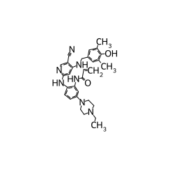 C=CC(=O)Nc1cc(N2CCN(CC)CC2)ccc1Nc1cc(NCc2cc(C)c(O)c(C)c2)c(C#N)cn1